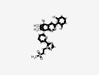 CC1(C)[C@H]2CC[C@]1(c1cccc(-c3ncnn3CCS(C)(=O)=O)n1)c1nnc(-c3c(F)cccc3F)cc12